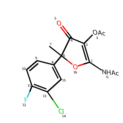 CC(=O)NC1=C(OC(C)=O)C(=O)C(C)(c2ccc(F)c(Cl)c2)O1